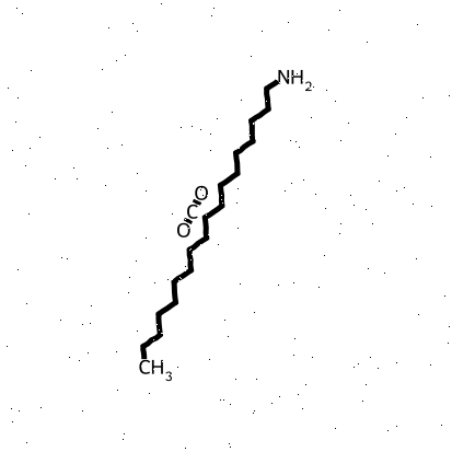 CCCCCCCCCCCCCCCCCCN.O=C=O